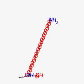 C=CCCCCCCCCCC(CCCCCCCCCCC(=O)O)C(=O)NCCOCCOCCOCCOCCOCCOCCOCCOCCOCCOCCOCCOCCOCCOCCOCCOCCOCCOCCOCCOCCOCCOCCOCCN